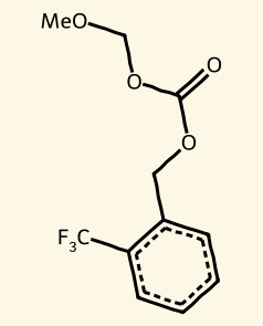 COCOC(=O)OCc1ccccc1C(F)(F)F